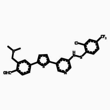 CN(C)Cc1cc(-c2ccc(-c3cncc(NSc4ccc(C(F)(F)F)cc4Cl)c3)s2)ccc1C=O